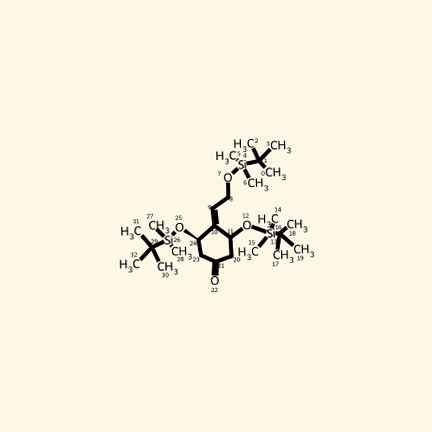 CC(C)(C)[Si](C)(C)OC/C=C1\C(O[Si](C)(C)C(C)(C)C)CC(=O)C[C@H]1O[Si](C)(C)C(C)(C)C